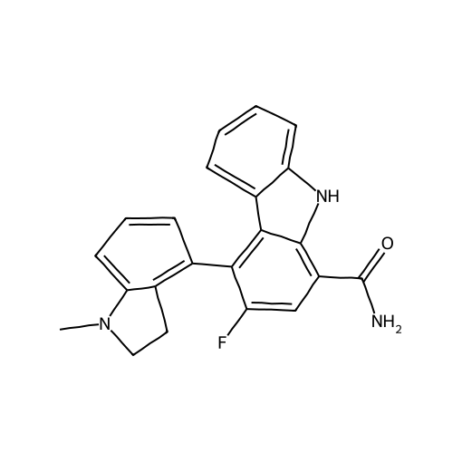 CN1CCc2c(-c3c(F)cc(C(N)=O)c4[nH]c5ccccc5c34)cccc21